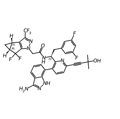 CC(C)(O)C#Cc1ccc(-c2cccc3c(N)n[nH]c23)c([C@H](Cc2cc(F)cc(F)c2)NC(=O)Cn2nc(C(F)(F)F)c3c2C(F)(F)[C@@H]2C[C@H]32)n1